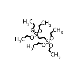 CCO[Si](CC[Si](OCC)(OCC)OCC)(OCC)OCC